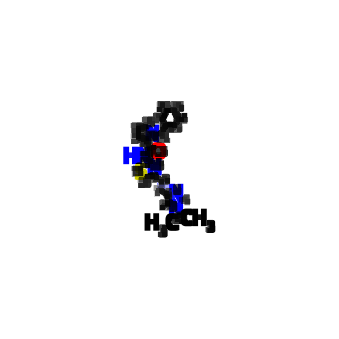 CC(C)n1cnc(/C=C/c2csc(NC(=O)c3cccn3Cc3ccccc3)n2)c1